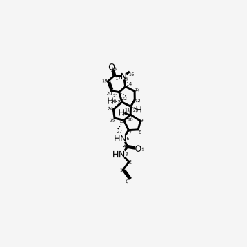 C=CCNC(=O)NC1CC[C@H]2[C@@H]3CCC4N(C)C(=O)C=C[C@]4(C)[C@@H]3CC[C@]12C